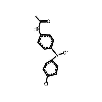 CC(=O)Nc1ccc([S+]([O-])c2ccc(Cl)cc2)cc1